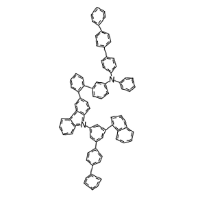 c1ccc(-c2ccc(-c3ccc(N(c4ccccc4)c4cccc(-c5ccccc5-c5ccc6c(c5)c5ccccc5n6-c5cc(-c6ccc(-c7ccccc7)cc6)cc(-c6cccc7ccccc67)c5)c4)cc3)cc2)cc1